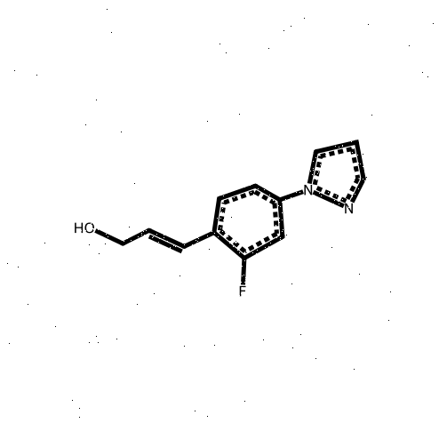 OCC=Cc1ccc(-n2cccn2)cc1F